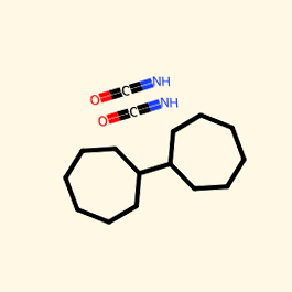 C1CCCC(C2CCCCCC2)CC1.N=C=O.N=C=O